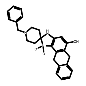 [O-][N+]1([O-])c2c(cc(O)c3c2Cc2ccccc2C3)NC12CCN(Cc1ccccc1)CC2